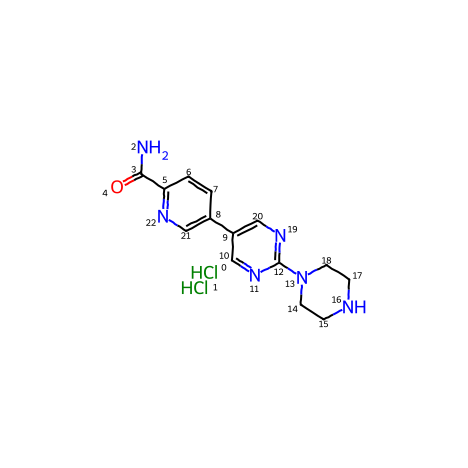 Cl.Cl.NC(=O)c1ccc(-c2cnc(N3CCNCC3)nc2)cn1